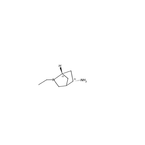 CCN1CC2C[C@H]1C[C@@H]2N